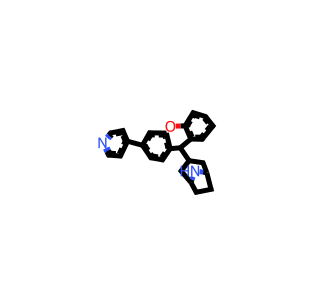 c1ccc2c(c1)Oc1cc(-c3ccncc3)ccc1C2C1CC2CCC(C1)N2